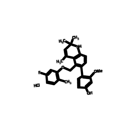 COc1cc(O)ccc1-c1ccc2c(c1COc1cc(F)ccc1C)C(C)=CC(C)(C)N2.Cl